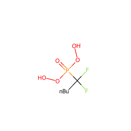 [CH2]CCCC(F)(F)P(=O)(OO)OO